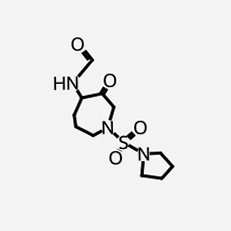 O=CNC1CCCN(S(=O)(=O)N2CCCC2)CC1=O